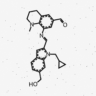 CN1CCCc2cc(C=O)cc(/N=C/c3cc4ccc(CO)cc4n3CC3CC3)c21